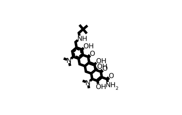 CN(C)c1cc(CNCC(C)(C)C)c(O)c2c1CC1CC3C(N(C)C)C(O)=C(C(N)=O)C(=O)C3(O)C(O)=C1C2=O